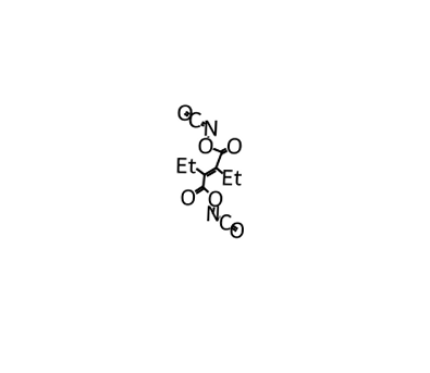 CC/C(C(=O)ON=C=O)=C(/CC)C(=O)ON=C=O